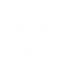 Clc1ccc(C=CC(Cn2ccnc2)SCC=Cc2ccccc2)cc1